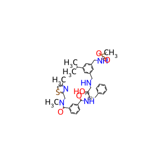 Cc1csc(CN(C)C(=O)c2cccc(C(=O)N[C@@H](Cc3ccccc3)[C@H](O)CNCc3cc(CNS(C)(=O)=O)cc(C(C)C)c3)c2)n1